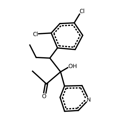 CCC(c1ccc(Cl)cc1Cl)C(O)(C(C)=O)c1cccnc1